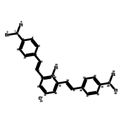 CCN(CC)c1ccc(/C=C/c2cccc(/C=C/c3ccc(N(CC)CC)cc3)[n+]2CC)cc1.[Cl-]